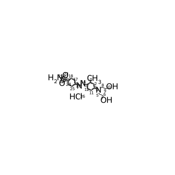 Cc1cc(N(CCO)CCO)ccc1N=Nc1ccc(S(N)(=O)=O)cc1.Cl